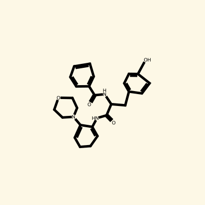 O=C(NC(Cc1ccc(O)cc1)C(=O)NC1=CCCC=C1N1CCOCC1)c1ccccc1